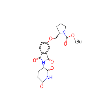 CC(C)(C)OC(=O)N1CCC[C@@H]1COc1ccc2c(c1)C(=O)N(C1CCC(=O)NC1=O)C2=O